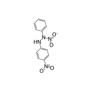 O=[N+]([O-])c1ccc(NN(c2ccccc2)[N+](=O)[O-])cc1